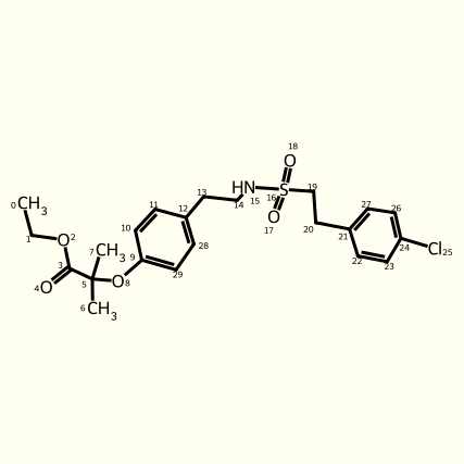 CCOC(=O)C(C)(C)Oc1ccc(CCNS(=O)(=O)CCc2ccc(Cl)cc2)cc1